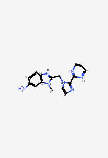 CCn1c(Cn2ccnc2-c2ncccn2)nc2ccc(N)cc21